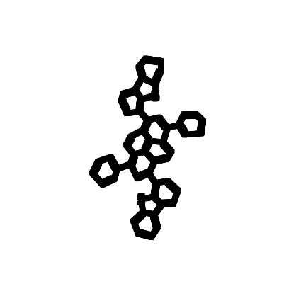 c1ccc(-c2cc(-c3cccc4c3sc3ccccc34)c3ccc4c(-c5ccccc5)cc(-c5cccc6c5sc5ccccc56)c5ccc2c3c45)cc1